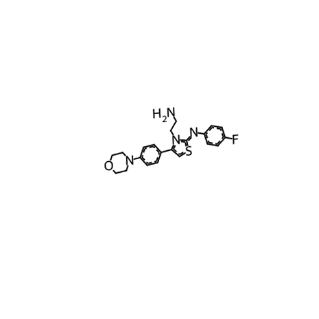 NCCn1c(-c2ccc(N3CCOCC3)cc2)cs/c1=N\c1ccc(F)cc1